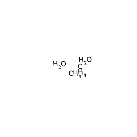 C.C.O.O